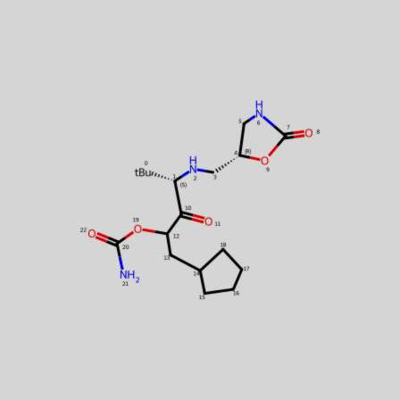 CC(C)(C)[C@H](NC[C@@H]1CNC(=O)O1)C(=O)C(CC1CCCC1)OC(N)=O